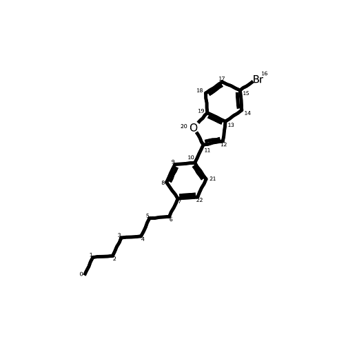 CCCCCCCc1ccc(-c2cc3cc(Br)ccc3o2)cc1